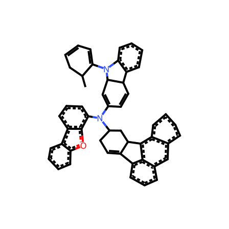 CC1CC=CC=C1N1c2ccccc2C2C=CC(N(c3cccc4c3oc3ccccc34)C3CC=C4c5cccc6cc7ccccc7c(c56)C4C3)=CC21